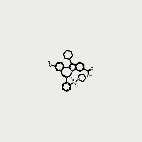 COc1ccc2c(c1)C=C(c1ccccc1S(=O)(=O)N1CCCC1)Cn1c-2c(C2CCCCC2)c2ccc(C(=O)O)cc21